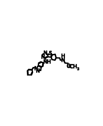 COCCNCCC1CCc2c(sc3ncnc(Nc4ccc5c(cnn5Cc5ccccc5)c4)c23)C1